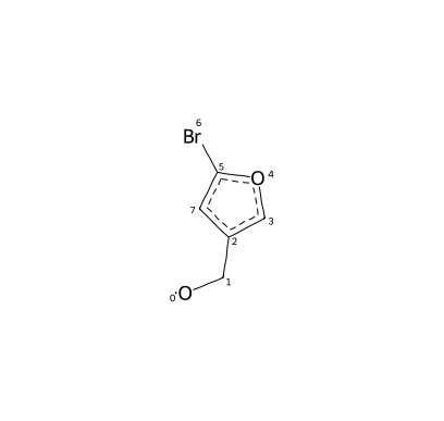 [O]Cc1coc(Br)c1